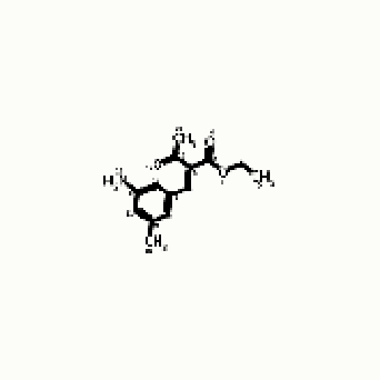 CCOC(=O)/C(=C/c1cc(C)cc(N)c1)C(C)=O